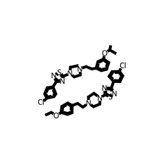 CC(C)Oc1cccc(CCN2CCN(c3nc(-c4ccc(Cl)cc4)ns3)CC2)c1.CCOc1ccc(CCN2CCN(c3nc(-c4ccc(Cl)cc4)ns3)CC2)cc1